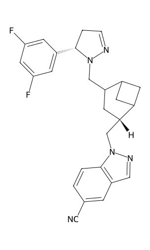 N#Cc1ccc2c(cnn2C[C@@H]2CC(CN3N=CC[C@H]3c3cc(F)cc(F)c3)C3CC2C3)c1